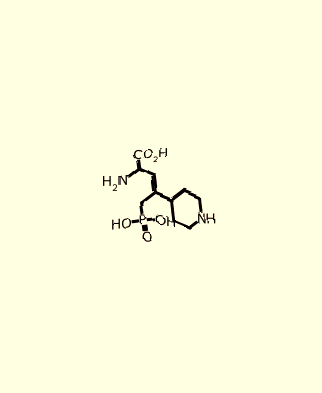 NC(C=C(CP(=O)(O)O)C1CCNCC1)C(=O)O